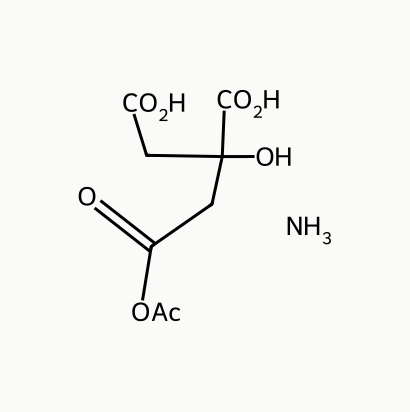 CC(=O)OC(=O)CC(O)(CC(=O)O)C(=O)O.N